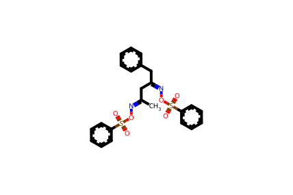 C/C(C/C(Cc1ccccc1)=N\OS(=O)(=O)c1ccccc1)=N\OS(=O)(=O)c1ccccc1